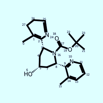 CC1=C([C@H]2C[C@@H](O)C[C@@H](c3ncccc3C)N2C(=O)OC(C)(C)C)N=CCC1